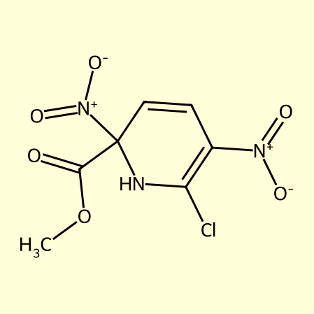 COC(=O)C1([N+](=O)[O-])C=CC([N+](=O)[O-])=C(Cl)N1